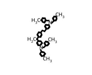 C=C(c1ccc(CCc2ccc(N(Cc3ccc(C)cc3)Cc3ccc(C)cc3)cc2)cc1)c1ccc(N(Cc2ccc(C)cc2)Cc2ccc(C)cc2)cc1